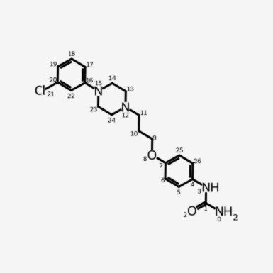 NC(=O)Nc1ccc(OCCCN2CCN(c3cccc(Cl)c3)CC2)cc1